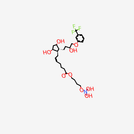 O=C(CCC/C=C\C[C@@H]1[C@@H](CC[C@@H](O)COc2cccc(C(F)(F)F)c2)[C@H](O)C[C@@H]1O)OCCCCON(O)O